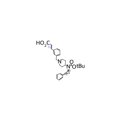 CC(C)(C)OC(=O)N(C1CCN(Cc2cccc(/C=C/C(=O)O)c2)CC1)[C@@H]1C[C@H]1c1ccccc1